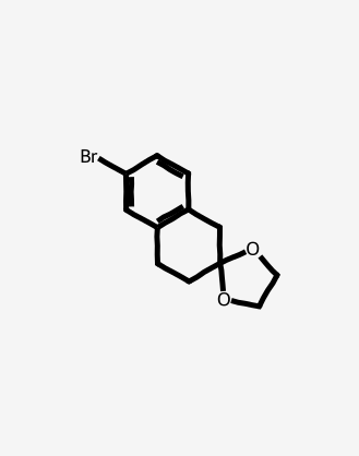 Brc1ccc2c(c1)CCC1(C2)OCCO1